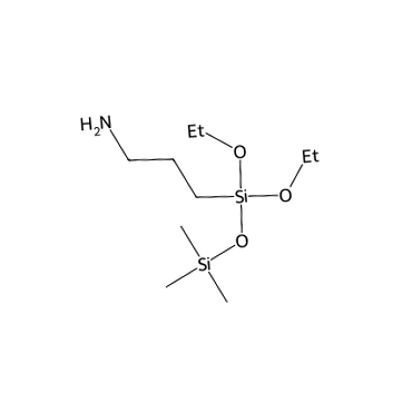 CCO[Si](CCCN)(OCC)O[Si](C)(C)C